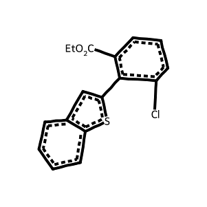 CCOC(=O)c1cccc(Cl)c1-c1cc2ccccc2s1